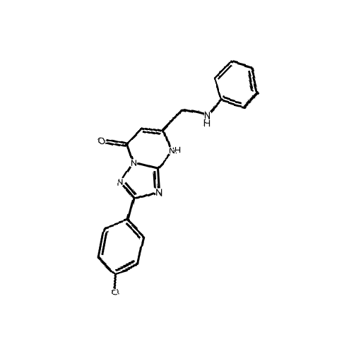 O=c1cc(CNc2ccccc2)[nH]c2nc(-c3ccc(Cl)cc3)nn12